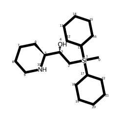 C[Si](C[C@@H](O)[C@@H]1CCCCN1)(C1CCCCC1)C1CCCCC1